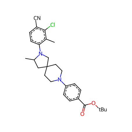 Cc1c(N2CC3(CCN(c4ccc(C(=O)OC(C)(C)C)cc4)CC3)CC2C)ccc(C#N)c1Cl